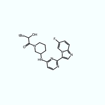 CC(C)(C)C(O)C(=O)N1CCCC(Nc2ccnc(-c3cnc4ccc(F)cn34)n2)C1